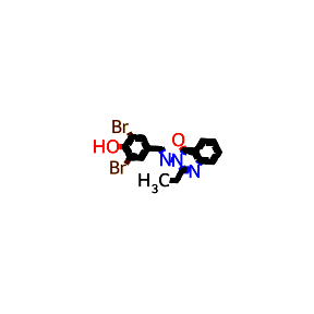 CCc1nc2ccccc2c(=O)n1N=Cc1cc(Br)c(O)c(Br)c1